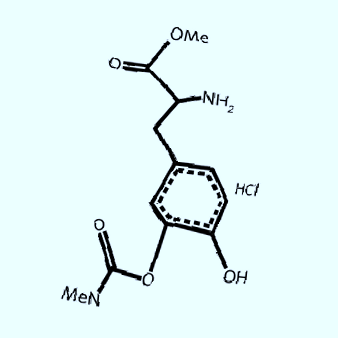 CNC(=O)Oc1cc(CC(N)C(=O)OC)ccc1O.Cl